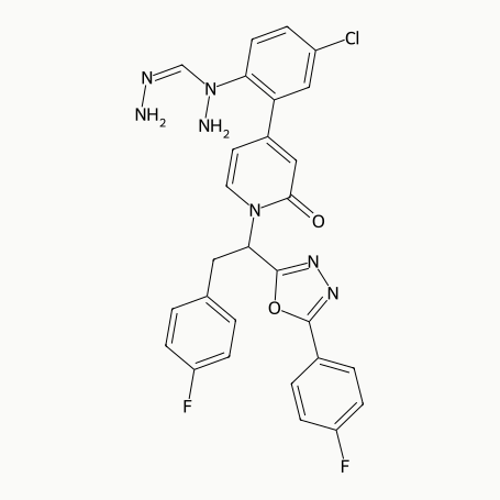 N/N=C\N(N)c1ccc(Cl)cc1-c1ccn(C(Cc2ccc(F)cc2)c2nnc(-c3ccc(F)cc3)o2)c(=O)c1